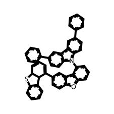 C1=CC2Sc3ccccc3C2C(c2ccc3oc4cccc(-n5c6ccc(-c7ccccc7)cc6c6cc(-c7ccccc7)ccc65)c4c3c2)=C1